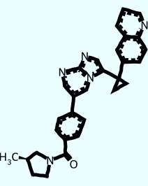 C[C@@H]1CCN(C(=O)c2ccc(-c3cnc4ncc(C5(c6ccc7ncccc7c6)CC5)n4c3)cc2)C1